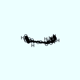 O=C(COc1cccc2c1C(=O)N(C1CCC(=O)NC1=O)C2=O)NCCCCCOCCOCCCCCNC(=O)[C@H]1CC[C@H](NC(=O)c2cnc(Nc3ccc4cnccc4n3)cc2NC2CC2)CC1